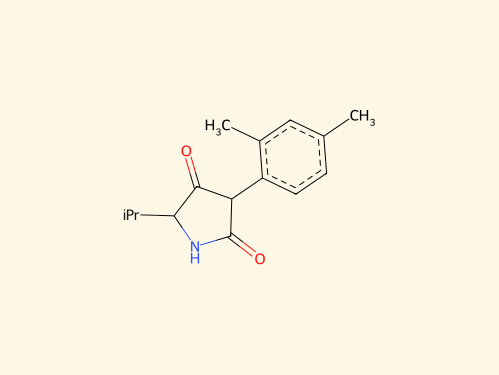 Cc1ccc(C2C(=O)NC(C(C)C)C2=O)c(C)c1